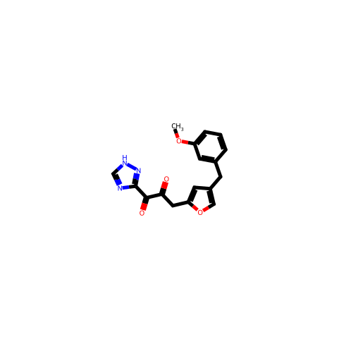 COc1cccc(Cc2coc(CC(=O)C(=O)c3nc[nH]n3)c2)c1